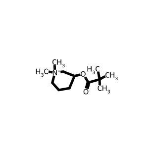 CC(C)(C)C(=O)OC1CCC[N+](C)(C)C1